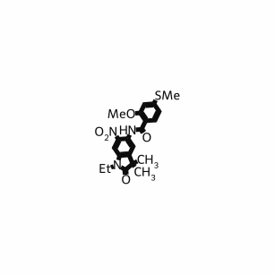 CCN1C(=O)C(C)(C)c2cc(NC(=O)c3ccc(SC)cc3OC)c([N+](=O)[O-])cc21